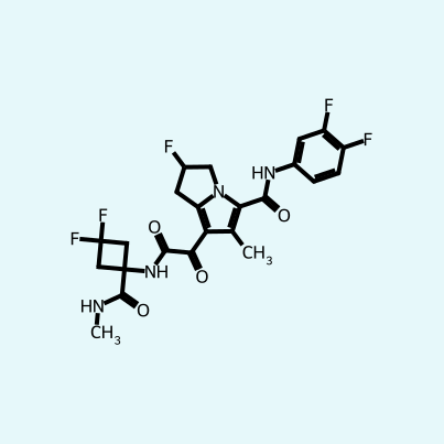 CNC(=O)C1(NC(=O)C(=O)c2c(C)c(C(=O)Nc3ccc(F)c(F)c3)n3c2CC(F)C3)CC(F)(F)C1